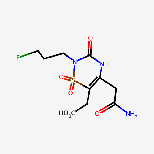 NC(=O)CC1=C(CC(=O)O)S(=O)(=O)N(CCCF)C(=O)N1